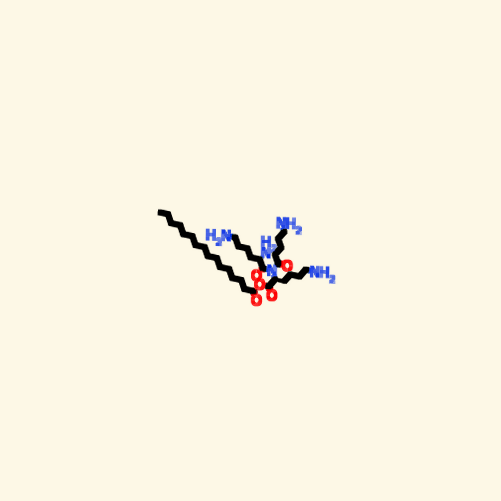 CCCCCCCCCCCCCCCC(=O)OC(=O)[C@H](CCCCN)N(C(=O)CCCCN)C(=O)[C@@H](N)CCCCN